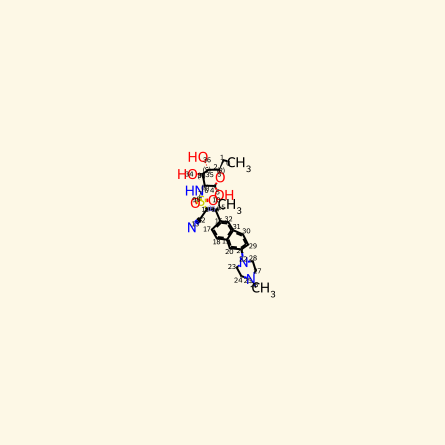 CC[C@H]1OC(O)[C@H](NS(=O)(=O)/C(C#N)=C(\C)c2ccc3cc(N4CCN(C)CC4)ccc3c2)[C@@H](O)[C@@H]1O